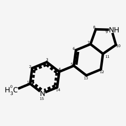 Cc1ccc(C2=CC3CNCC3CC2)cn1